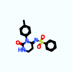 Cc1ccc(N2C(=O)NCCC2=NS(=O)(=O)c2ccccc2)cc1